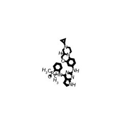 CP(C)(=O)c1ccccc1Nc1nc(Nc2ccc3c(c2)OC[C@H]2CN(C4CC4)CCN32)nc2[nH]ccc12